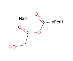 CCCCCC(=O)OC(=O)CO.[NaH]